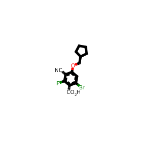 N#Cc1c(OCC2CCCC2)cc(Br)c(C(=O)O)c1F